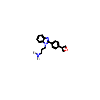 CCN(CC)CCCn1c(-c2ccc(C3COC3)cc2)nc2ccccc21